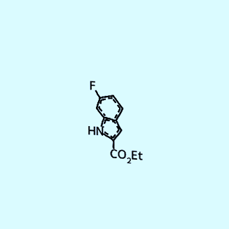 CCOC(=O)c1cc2ccc(F)cc2[nH]1